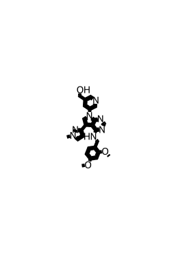 COc1ccc(CNc2ncnc3c2c(-c2ccn(C)n2)cn3-c2cncc(CO)c2)c(OC)c1